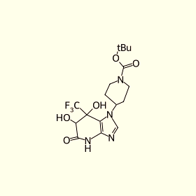 CC(C)(C)OC(=O)N1CCC(n2cnc3c2C(O)(C(F)(F)F)C(O)C(=O)N3)CC1